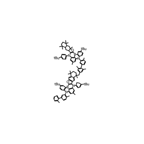 Cc1cc2c3c(c1)N(c1cc(-c4c(C)cc(CC5(C)CCC(C)(C)c6cc7oc8c(c7cc65)N(C5=CC=C(C(C)(C)C)CC5)c5cc(C)cc6c5B8c5cc(C(C)(C)C)ccc5N6c5cc(-c6ccccc6C)ccc5C)cc4C)ccc1C)c1ccc(C(C)(C)C)cc1B3C1=C(C3CC4C(CC3(C)O1)C(C)(C)CCC4(C)C)N2c1ccc(C(C)(C)C)cc1